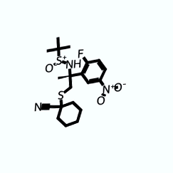 CC(C)(C)[S@@+]([O-])N[C@@](C)(CSC1(C#N)CCCCC1)c1cc([N+](=O)[O-])ccc1F